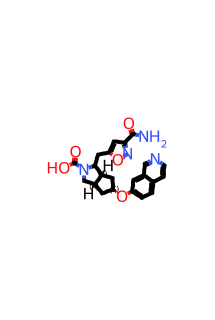 NC(=O)c1cc(CC2[C@H]3C[C@@H](Oc4ccc5ccncc5c4)C[C@H]3CN2C(=O)O)on1